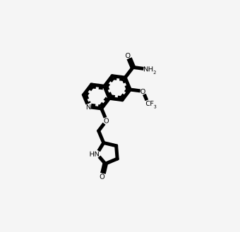 NC(=O)c1cc2ccnc(OCC3CCC(=O)N3)c2cc1OC(F)(F)F